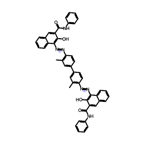 Cc1cc(-c2ccc(/N=N/c3c(O)c(C(=O)Nc4ccccc4)cc4ccccc34)c(C)c2)ccc1/N=N/c1c(O)c(C(=O)Nc2ccccc2)cc2ccccc12